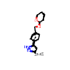 O=Cc1cc(C23CCC(COC4CCCCO4)(CC2)CC3)[nH]n1